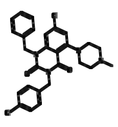 CN1CCN(c2cc(Cl)cc3c2c(=O)n(Cc2ccc(Cl)cc2)c(=O)n3Cc2ccccc2)CC1